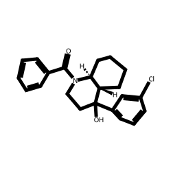 O=C(c1ccccc1)N1CCC(O)(c2cccc(Cl)c2)[C@H]2CCCC[C@@H]21